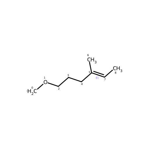 [CH2]OCCC/C(C)=C/C